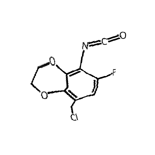 O=C=Nc1c(F)cc(Cl)c2c1OCCO2